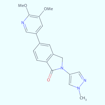 COc1cc(-c2ccc3c(c2)CN(c2cnn(C)c2)C3=O)cnc1OC